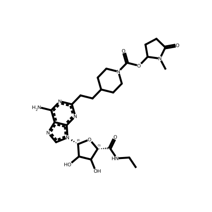 CCNC(=O)[C@H]1O[C@@H](n2cnc3c(N)nc(CCC4CCN(C(=O)OC5CCC(=O)N5C)CC4)nc32)C(O)C1O